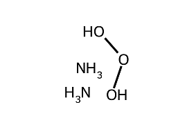 N.N.OOO